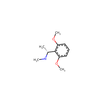 C[N][C@H](C)c1c(OC)cccc1OC